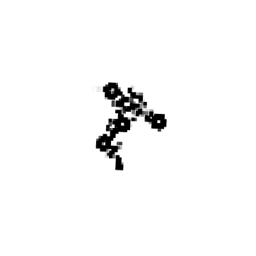 C#CCNC(=O)c1ccccc1CC1N=Nc2c(CN3C[C@H]4N(C(=O)CN(C)N4C(=O)NCc4ccccc4)[C@@H](Cc4ccc(O)cc4)C3=O)cccc21